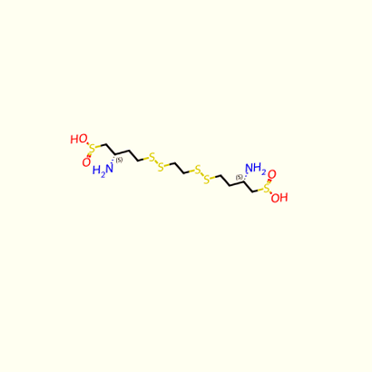 N[C@@H](CCSSCCSSCC[C@H](N)CS(=O)O)CS(=O)O